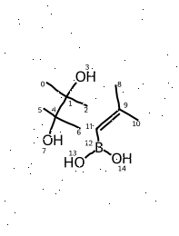 CC(C)(O)C(C)(C)O.CC(C)=CB(O)O